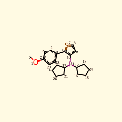 COc1ccc(-c2sccc2P(C2CCCC2)C2CCCC2)cc1